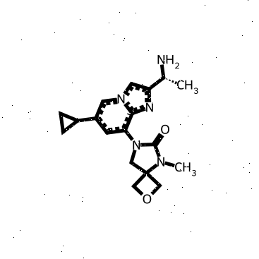 C[C@@H](N)c1cn2cc(C3CC3)cc(N3CC4(COC4)N(C)C3=O)c2n1